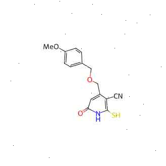 COc1ccc(COCc2cc(=O)[nH]c(S)c2C#N)cc1